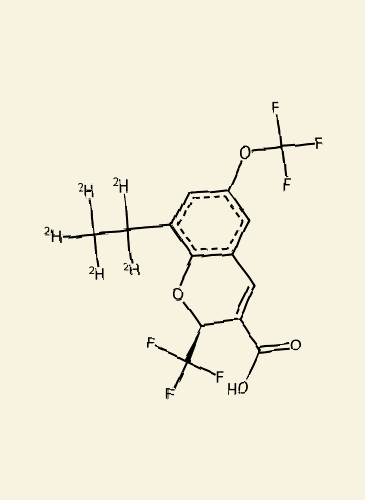 [2H]C([2H])([2H])C([2H])([2H])c1cc(OC(F)(F)F)cc2c1O[C@H](C(F)(F)F)C(C(=O)O)=C2